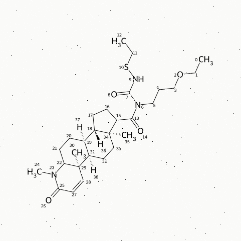 CCOCCCN(C(=O)NSCC)C(=O)C1CC[C@H]2[C@@H]3CCC4N(C)C(=O)C=C[C@]4(C)[C@@H]3CC[C@]12C